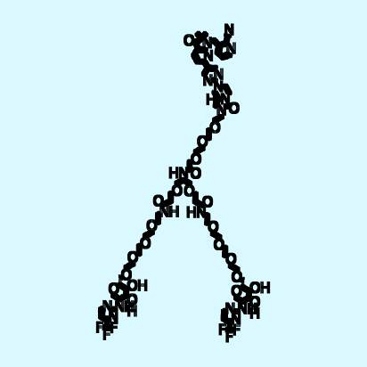 CC1(C)C(=O)c2ccc(-c3cnc(N4CCN5C(=O)N(CCOCCOCCOCC(=O)NC(COCCC(=O)NCCOCCOCCOCCOC[C@H]6OC[C@H](Nc7nccc(C(F)(F)F)n7)[C@@H](O)[C@H]6O)COCCC(=O)NCCOCCOCCOCCOC[C@H]6OC[C@H](Nc7nccc(C(F)(F)F)n7)[C@@H](O)[C@H]6O)C[C@@H]5C4)nc3)nc2N1Cc1cccnc1C#N